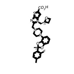 Cc1ccc([C@@]2(C)Oc3cccc(N4CCN(Cc5nc6sc(C(=O)O)cc6n5C[C@@H]5CCO5)CC4)c3O2)c(F)c1